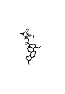 CCC1CC(C(=O)CN2N=C(C)NN2)C2(C)CCC3C4CCC(C)CC4CCC3C12